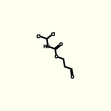 O=CCCOC(=O)NC(Cl)Cl